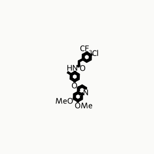 COc1cc2nccc(Oc3ccc(NC(=O)Cc4ccc(Cl)c(C(F)(F)F)c4)c(C)c3)c2cc1OC